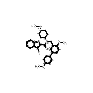 C=C(c1sc2ccccc2c1Cl)N(Cc1cc(-c2ccc(OC)cc2)ccc1OC)[C@H]1CC[C@H](NC)CC1